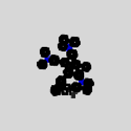 CC1(C)c2ccccc2-c2ccc(-c3ccc4c(c3)c3cc(-c5ccc(N(c6ccccc6)c6ccccc6)cc5)ccc3c3c(-c5ccc(N(c6ccccc6)c6cccc7ccccc67)cc5)cc(-c5ccccc5)c(-c5ccc(N(c6ccccc6)c6cccc7ccccc67)cc5)c43)cc21